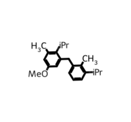 COc1cc(C)c(C(C)C)c(Cc2cccc(C(C)C)c2C)c1